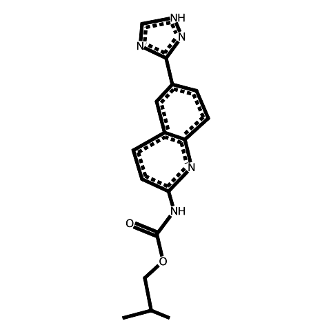 CC(C)COC(=O)Nc1ccc2cc(-c3nc[nH]n3)ccc2n1